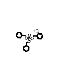 O=P(OCc1ccccc1)(OCc1ccccc1)OCc1ccccc1O